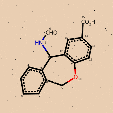 O=CNC1c2ccccc2COc2ccc(C(=O)O)cc21